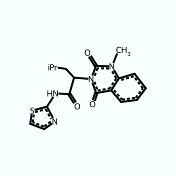 CC(C)CC(C(=O)Nc1nccs1)n1c(=O)c2ccccc2n(C)c1=O